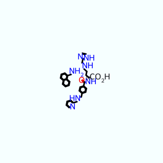 NCc1cccc2ccccc12.O=C(N[C@@H](CCCNCc1ncc[nH]1)C(=O)O)c1ccc(CNCc2ccccn2)cc1